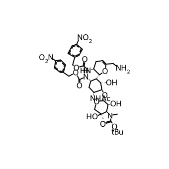 CC(=O)N[C@@H]1C[C@H](NC(=O)OCc2ccc([N+](=O)[O-])cc2)C([C@H]2OC(CN)=CC[C@H]2NC(=O)OCc2ccc([N+](=O)[O-])cc2)[C@H](O)[C@H]1O[C@H]1OC[C@](C)(O)[C@H](N(C)C(=O)OC(C)(C)C)[C@H]1O